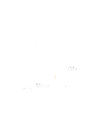 C=CC(c1ccccc1)P(=O)(OC)OC